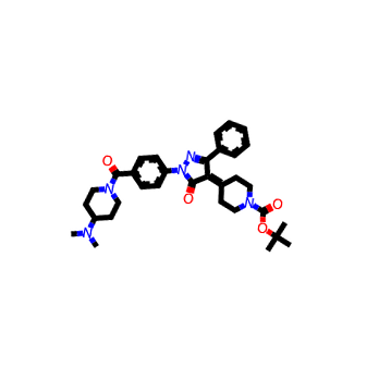 CN(C)C1CCN(C(=O)c2ccc(N3N=C(c4ccccc4)C(=C4CCN(C(=O)OC(C)(C)C)CC4)C3=O)cc2)CC1